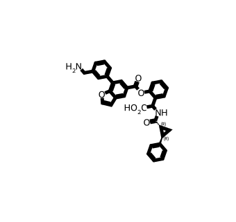 NCc1cccc(-c2cc(C(=O)Oc3ccccc3C(NC(=O)[C@@H]3C[C@H]3c3ccccc3)C(=O)O)cc3ccoc23)c1